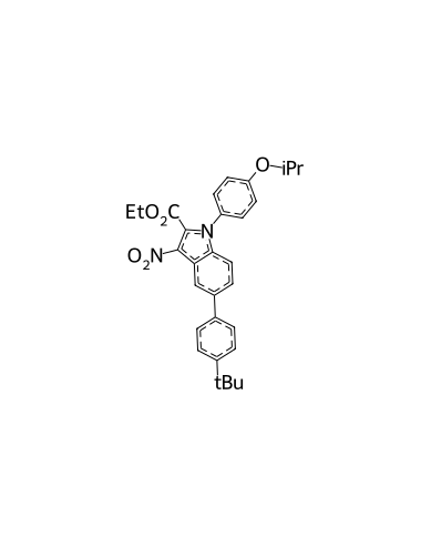 CCOC(=O)c1c([N+](=O)[O-])c2cc(-c3ccc(C(C)(C)C)cc3)ccc2n1-c1ccc(OC(C)C)cc1